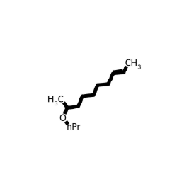 CC=CCCCCCC(C)OCCC